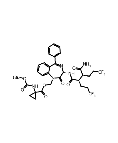 CC(C)(C)OC(=O)NC1(C(=O)OCN2C(=O)[C@@H](NC(=O)[C@H](CCC(F)(F)F)[C@H](CCC(F)(F)F)C(N)=O)N=C(c3ccccc3)c3ccccc32)CC1